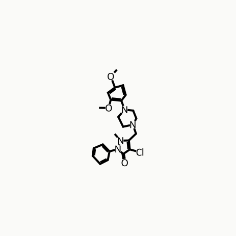 COc1ccc(N2CCN(Cc3c(Cl)c(=O)n(-c4ccccc4)n3C)CC2)c(OC)c1